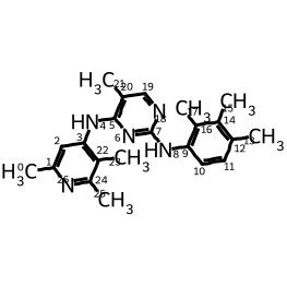 Cc1cc(Nc2nc(Nc3ccc(C)c(C)c3C)ncc2C)c(C)c(C)n1